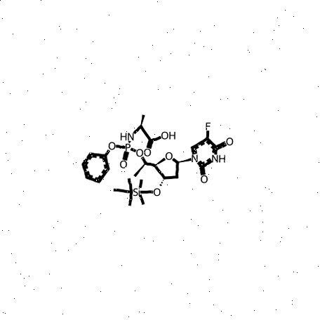 C[C@H](N[P@@](=O)(Oc1ccccc1)O[C@H](C)[C@H]1O[C@@H](n2cc(F)c(=O)[nH]c2=O)C[C@@H]1O[Si](C)(C)C(C)(C)C)C(=O)O